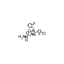 NNC(=O)Cn1nc(-c2ccc(Cl)s2)n(Cc2ccccc2F)c1=O